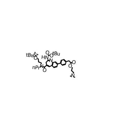 CCCN(CCCO[Si](C)(C)C(C)(C)C)C(=O)C1=Cc2ccc(-c3ccc(CC(=O)OCCCN(C)C)cc3)cc2N=C(NC(=O)OC(C)(C)C)C1